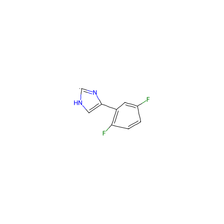 Fc1ccc(F)c(-c2c[nH][c]n2)c1